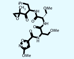 COCC(NC(=O)c1cc(OC)no1)C(=O)N[C@@H](COC)C(=O)NC(CC(C)C)C(=O)C1(C)CO1